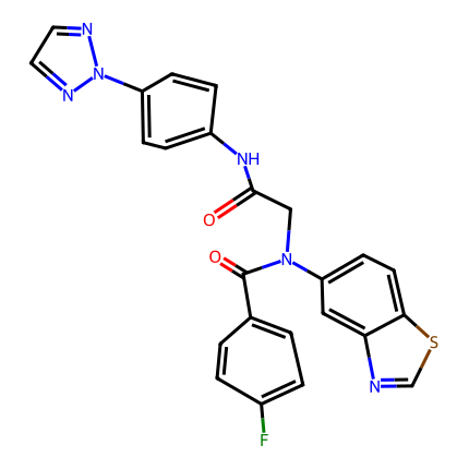 O=C(CN(C(=O)c1ccc(F)cc1)c1ccc2scnc2c1)Nc1ccc(-n2nccn2)cc1